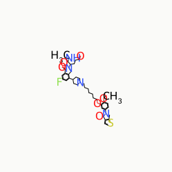 CNC(=O)C(CCC=O)N1Cc2c(cc(F)cc2C2CCN(CCCCCCCOc3cc(N4Cc5sccc5C4=O)ccc3OC)CC2)C1=O